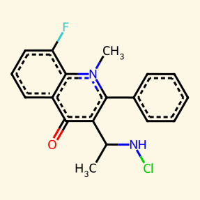 CC(NCl)c1c(-c2ccccc2)n(C)c2c(F)cccc2c1=O